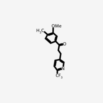 COc1cc(C(=O)CCc2ccc(C(F)(F)F)nc2)ccc1C